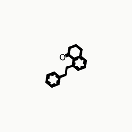 O=C1CCCc2cccc(CCc3ccccc3)c21